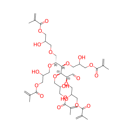 C=C(C)C(=O)OCC(O)COC[C@@H](OCC(O)COC(=O)C(=C)C)[C@@H](OCC(O)COC(=O)C(=C)C)[C@H](OCC(O)COC(=O)C(=C)C)[C@@H](C=O)OCC(O)COC(=O)C(=C)C